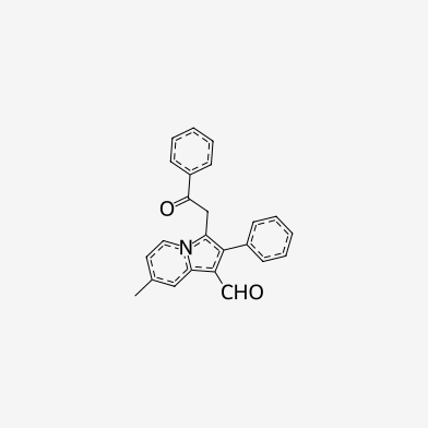 Cc1ccn2c(CC(=O)c3ccccc3)c(-c3ccccc3)c(C=O)c2c1